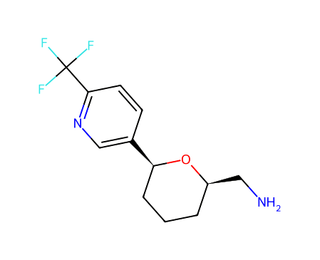 NC[C@H]1CCC[C@@H](c2ccc(C(F)(F)F)nc2)O1